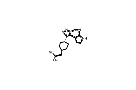 N#CC(C#N)=C[C@H]1CC[C@H](c2nnn3cnc4[nH]ccc4c23)CC1